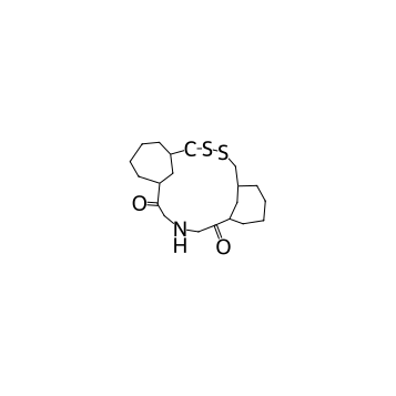 O=C1CNCC(=O)C2CCCCC(CSSCC3CCCCC1C3)C2